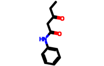 CCC(=O)CC(=O)Nc1ccccc1